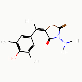 C/C(=C1\SC(=S)N(N(C)C)C1=O)c1cc(C(C)(C)C)c(O)c(C(C)(C)C)c1